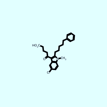 Cn1c(CCCCCc2ccccc2)c(C(=O)CCCC(=O)O)c2cc(Cl)ccc21